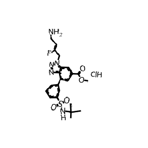 COC(=O)c1cc(-c2cccc(S(=O)(=O)NC(C)(C)C)c2)c2nnn(C/C(F)=C/CN)c2c1.Cl